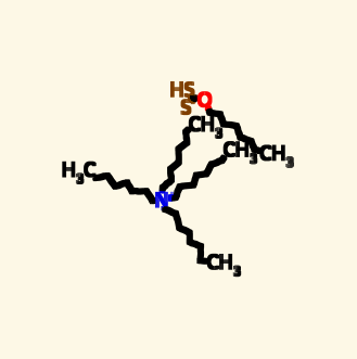 CCCCCCCCOC(=S)S.CCCCCCCC[N+](CCCCCCCC)(CCCCCCCC)CCCCCCCC